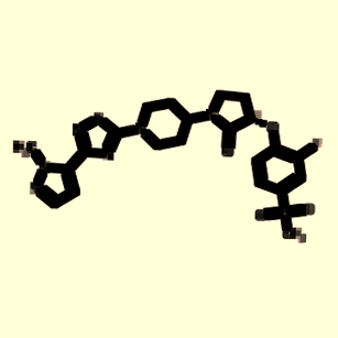 Cn1nccc1-c1nsc(N2CCC(N3CC[C@H](Oc4ccc(S(C)(=O)=O)cc4F)C3=O)CC2)n1